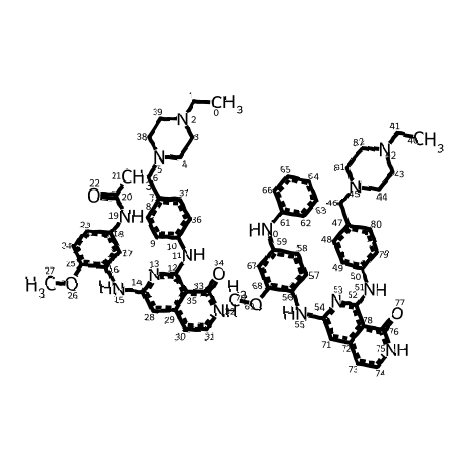 CCN1CCN(Cc2ccc(Nc3nc(Nc4cc(NC(C)=O)ccc4OC)cc4cc[nH]c(=O)c34)cc2)CC1.CCN1CCN(Cc2ccc(Nc3nc(Nc4ccc(Nc5ccccc5)cc4OC)cc4cc[nH]c(=O)c34)cc2)CC1